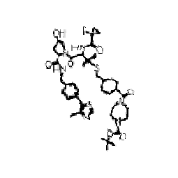 Cc1ncsc1-c1ccc(CNC(=O)[C@H]2C[C@@H](O)CN2C(=O)[C@@H](NC(=O)C2(F)CC2)C(C)(C)SCC2CCC(C(=O)N3CCN(C(=O)OC(C)(C)C)CC3)CC2)cc1